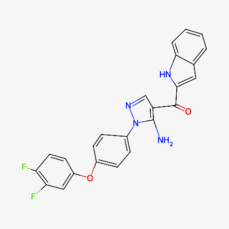 Nc1c(C(=O)c2cc3ccccc3[nH]2)cnn1-c1ccc(Oc2ccc(F)c(F)c2)cc1